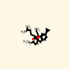 C=C(N)CCN1C(=O)C2(N=C1N)c1cc(C3CC3)ccc1CC21CCC(OC)CC1